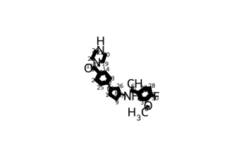 COc1cc([C@@H](C)N[C@H]2CC[C@@H](c3ccc(C(=O)N4CCNCC4)cc3)C2)ccc1F